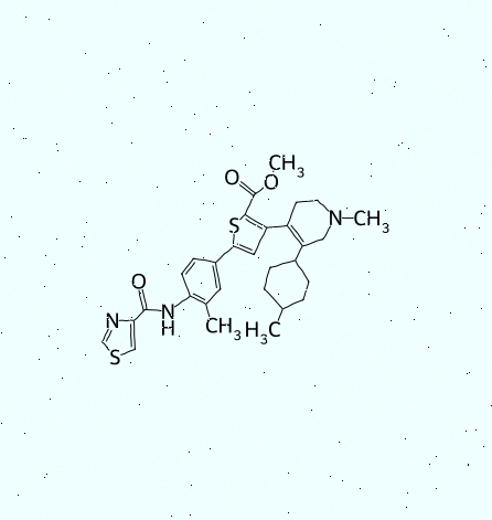 COC(=O)c1sc(-c2ccc(NC(=O)c3cscn3)c(C)c2)cc1C1=C(C2CCC(C)CC2)CN(C)CC1